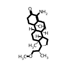 COC[C@@H](C)[C@H]1CC[C@H]2[C@@H]3CCC4=C(N)C(=O)CC[C@]4(C)[C@H]3CC[C@]12C